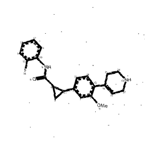 COc1cc(C2CC2C(=O)Nc2ccccc2F)ccc1C1=CCNCC1